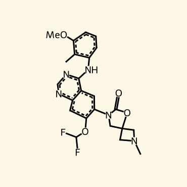 COc1cccc(Nc2ncnc3cc(OC(F)F)c(N4CC5(CN(C)C5)OC4=O)cc23)c1C